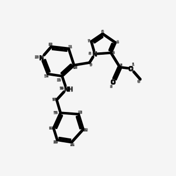 COC(=O)c1cccn1Cc1ccncc1NCc1ccccc1